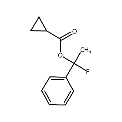 CC(F)(OC(=O)C1CC1)c1ccccc1